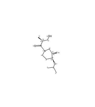 CC(C)O[C@H]1CCN(C(=O)[C@@H](C)CO)C[C@H]1F